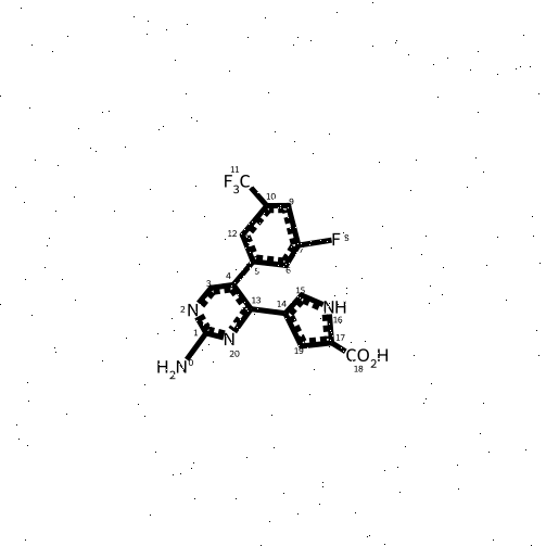 Nc1ncc(-c2cc(F)cc(C(F)(F)F)c2)c(-c2c[nH]c(C(=O)O)c2)n1